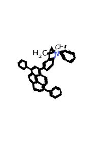 CC12CC1(C)N(c1ccccc1)c1ccc(-c3cc(-c4ccccc4)c4ccc5ccc(-c6ccccc6)c6ccc3c4c56)cc12